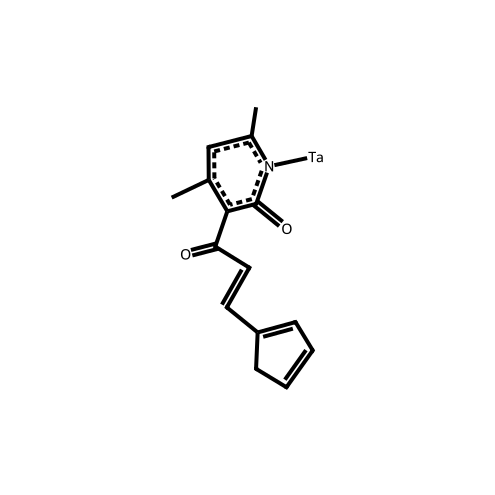 Cc1cc(C)[n]([Ta])c(=O)c1C(=O)/C=C/C1=CC=CC1